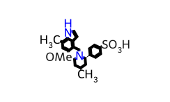 COc1cc(C)c2[nH]ccc2c1CN1CC[C@@H](C)C[C@H]1c1ccc(S(=O)(=O)O)cc1